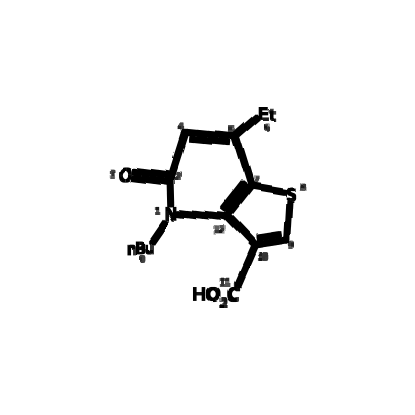 CCCCn1c(=O)cc(CC)c2scc(C(=O)O)c21